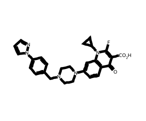 O=C(O)c1c(F)n(C2CC2)c2cc(N3CCN(Cc4ccc(-n5cccn5)cc4)CC3)ccc2c1=O